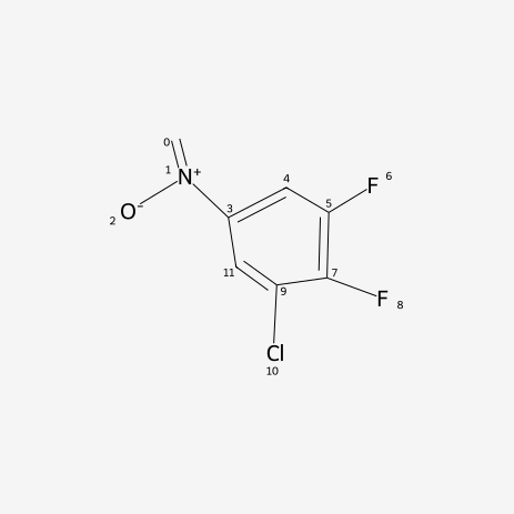 C=[N+]([O-])c1cc(F)c(F)c(Cl)c1